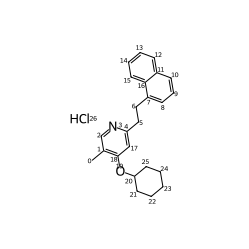 Cc1cnc(CCc2cccc3ccccc23)cc1OC1CCCCC1.Cl